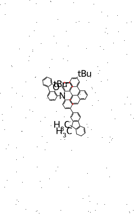 CC(C)(C)c1cc(-c2cccc3cccc(-c4ccccc4N(c4ccc(-c5ccc6c(c5)C(C)(C)C5=C6C=CCC5)cc4)c4cccc5c4oc4ccccc45)c23)cc(C(C)(C)C)c1